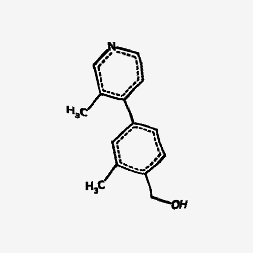 Cc1cc(-c2ccncc2C)ccc1CO